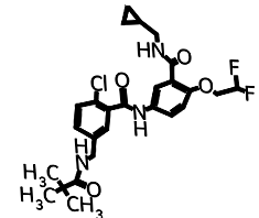 CC(C)(C)C(=O)NCc1ccc(Cl)c(C(=O)Nc2ccc(OCC(F)F)c(C(=O)NCC3CC3)c2)c1